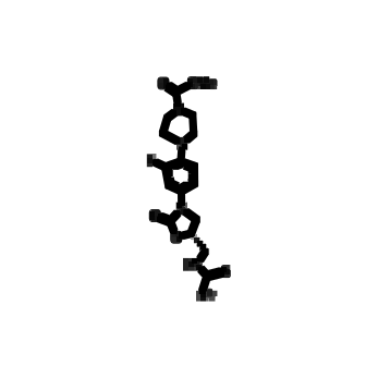 CCCC(=S)NC[C@H]1CN(c2ccc(N3CCN(C(=O)OC)CC3)c(F)c2)C(=O)O1